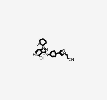 C[C@H]1CCCC[C@@H]1n1nc(Nc2ccc(-c3cnn(CCC#N)c3)cc2)c2c1C=CNC2O